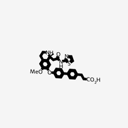 COc1cc2c(cc1Oc1ccc(-c3ccc(CCC(=O)O)cc3)cc1)[C@@](C)(CC(=O)Nc1nccs1)NCC2